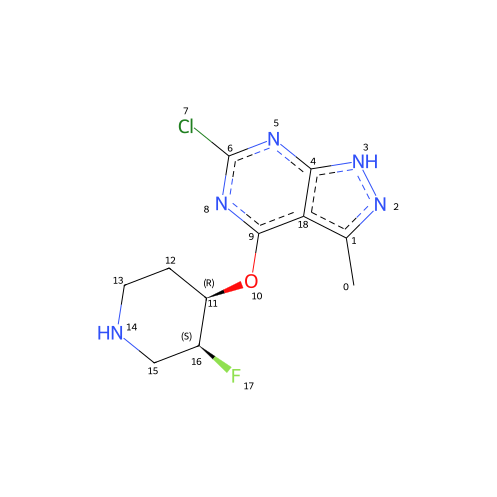 Cc1n[nH]c2nc(Cl)nc(O[C@@H]3CCNC[C@@H]3F)c12